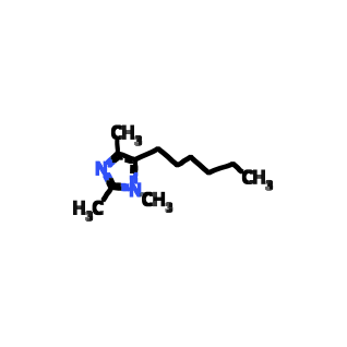 CCCCCCc1c(C)nc(C)n1C